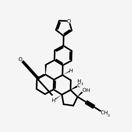 CC#C[C@]1(O)CC[C@H]2C3=C4[C@H](C[C@@]21C)c1ccc(-c2ccoc2)cc1C[C@@]41CCC(=O)C=C1CC3